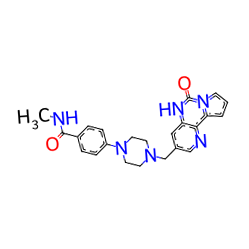 CNC(=O)c1ccc(N2CCN(Cc3cnc4c(c3)[nH]c(=O)n3cccc43)CC2)cc1